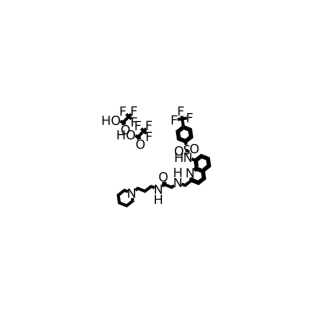 O=C(CNCc1ccc2cccc(NS(=O)(=O)c3ccc(C(F)(F)F)cc3)c2n1)NCCCN1CCCCC1.O=C(O)C(F)(F)F.O=C(O)C(F)(F)F